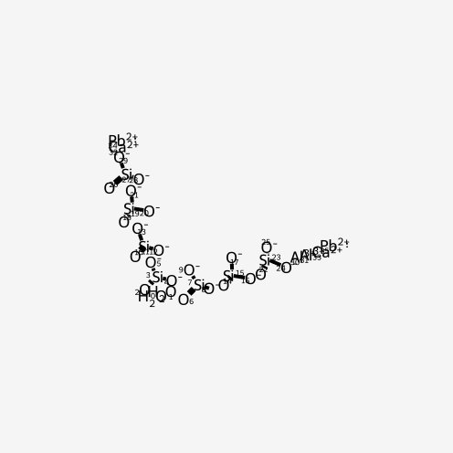 O.O.O=[Si]([O-])[O-].O=[Si]([O-])[O-].O=[Si]([O-])[O-].O=[Si]([O-])[O-].O=[Si]([O-])[O-].O=[Si]([O-])[O-].O=[Si]([O-])[O-].[Al+3].[Al+3].[Ca+2].[Ca+2].[Pb+2].[Pb+2]